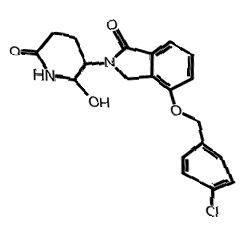 O=C1CCC(N2Cc3c(OCc4ccc(Cl)cc4)cccc3C2=O)C(O)N1